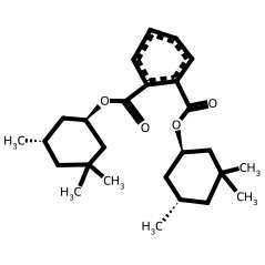 C[C@@H]1C[C@@H](OC(=O)c2ccccc2C(=O)O[C@@H]2C[C@@H](C)CC(C)(C)C2)CC(C)(C)C1